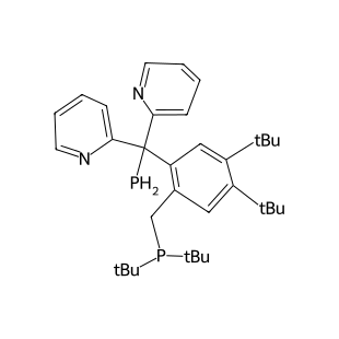 CC(C)(C)c1cc(CP(C(C)(C)C)C(C)(C)C)c(C(P)(c2ccccn2)c2ccccn2)cc1C(C)(C)C